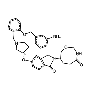 Nc1cccc(COc2ccccc2CN2CC[C@H](Oc3ccc4c(c3)CN(C3CCC(=O)NCOC3)C4=O)C2)c1